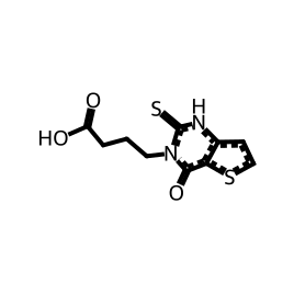 O=C(O)CCCn1c(=S)[nH]c2ccsc2c1=O